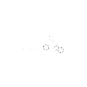 C[C@@H]1Cc2c([nH]c3ccccc23)[C@@H](c2c(F)cc(OCCCN)cc2F)N1CC(C)(C)F